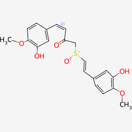 COc1ccc(C=C[S+]([O-])CC(=O)/C=C\c2ccc(OC)c(O)c2)cc1O